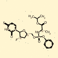 CC(C)OC(=O)[C@H](C)NP(=O)(OC[C@@H]1C[C@H](F)C(n2ccc(=S)[nH]c2=O)O1)Oc1ccccc1